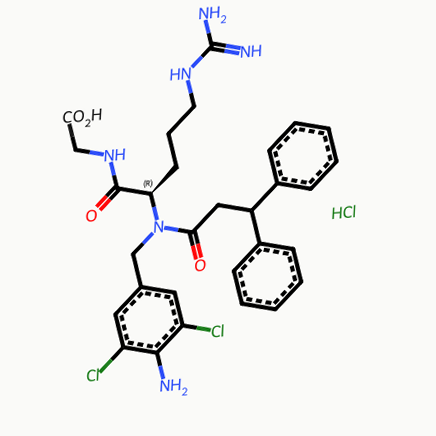 Cl.N=C(N)NCCC[C@H](C(=O)NCC(=O)O)N(Cc1cc(Cl)c(N)c(Cl)c1)C(=O)CC(c1ccccc1)c1ccccc1